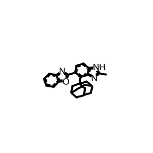 Cc1nc2c(C34CC5CC(CC(C5)C3)C4)c(-c3nc4ccccc4o3)ccc2[nH]1